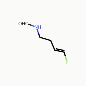 O=[C]NCCC=CF